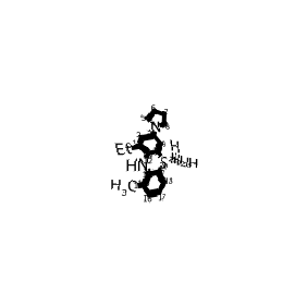 CCc1cc(N2CCCC2)cc2c1Nc1c(C)cccc1S2.I.I.I